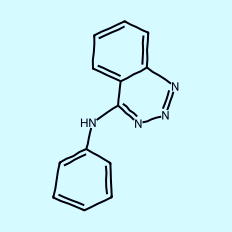 c1ccc(Nc2nnnc3ccccc23)cc1